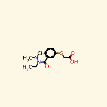 CCN(C(=O)c1cccc(SCC(=O)O)c1)N(C)C